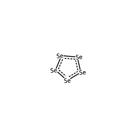 [se]1[se][se][se][se]1